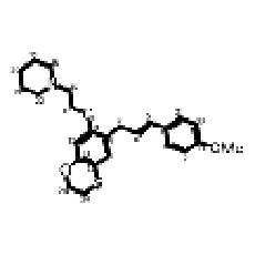 COc1ccc(C=CCc2cc3c(cc2OCCN2CCCCC2)OCCS3)cc1